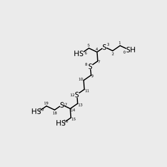 SCCSC(CS)CSCCCSCC(CS)SCCS